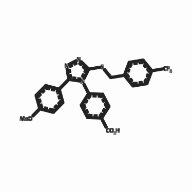 COc1ccc(-c2nnc(SCc3ccc(C(F)(F)F)cc3)n2-c2ccc(C(=O)O)cc2)cc1